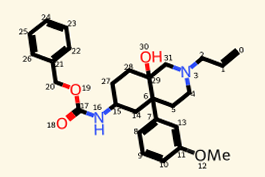 C=CCN1CCC2(c3cccc(OC)c3)CC(NC(=O)OCc3ccccc3)CCC2(O)C1